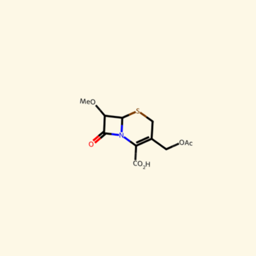 COC1C(=O)N2C(C(=O)O)=C(COC(C)=O)CSC12